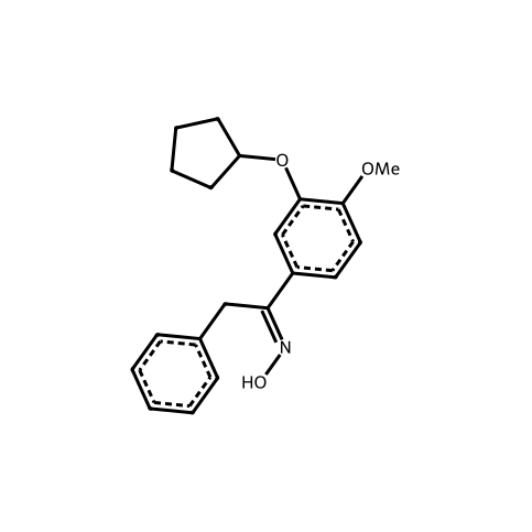 COc1ccc(C(Cc2ccccc2)=NO)cc1OC1CCCC1